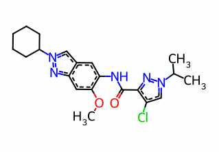 COc1cc2nn(C3CCCCC3)cc2cc1NC(=O)c1nn(C(C)C)cc1Cl